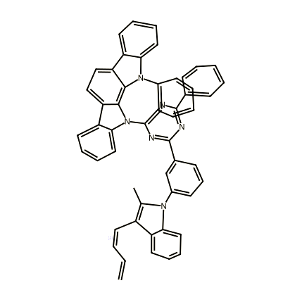 C=C/C=C\c1c(C)n(-c2cccc(-c3nc(-c4ccccc4)nc(-n4c5ccccc5c5ccc6c7ccccc7n(-c7ccccc7)c6c54)n3)c2)c2ccccc12